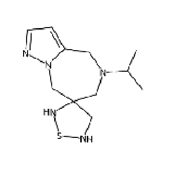 CC(C)N1Cc2ccnn2CC2(CNSN2)C1